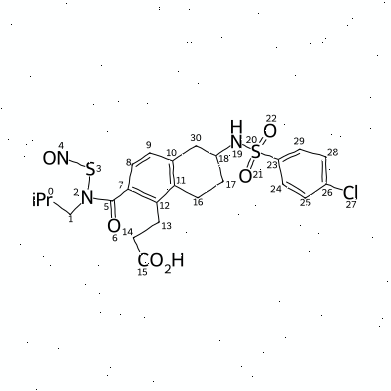 CC(C)CN(SN=O)C(=O)c1ccc2c(c1CCC(=O)O)CCC(NS(=O)(=O)c1ccc(Cl)cc1)C2